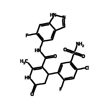 CC1=C(C(=O)Nc2cc3cn[nH]c3cc2F)C(c2cc(S(N)(=O)=O)c(Cl)cc2F)CC(=O)N1